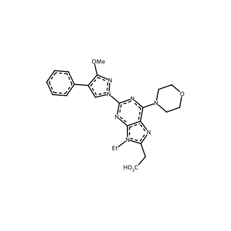 CCn1c(CC(=O)O)nc2c(N3CCOCC3)nc(-n3cc(-c4ccccc4)c(OC)n3)nc21